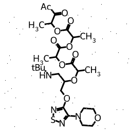 CC(=O)C(=O)C(C)OC(=O)C(C)OC(=O)C(C)OC(=O)C(C)OC(CNC(C)(C)C)COc1nsnc1N1CCOCC1